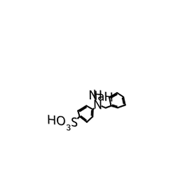 O=S(=O)(O)c1ccc(NCc2ccccc2)cc1.[NaH]